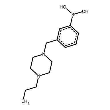 CCCN1CCN(Cc2cccc(B(O)O)c2)CC1